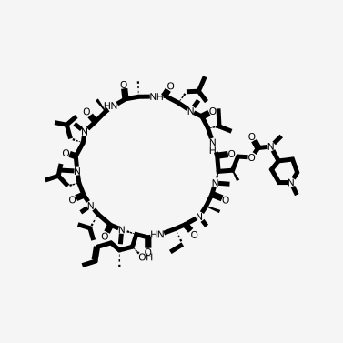 C/C=C/C[C@@H](C)[C@@H](O)[C@H]1C(=O)N[C@@H](CC)C(=O)N(C)[C@H](C)C(=O)N(C)[C@@H]([C@H](C)COC(=O)N(C)C2CCN(C)CC2)C(=O)N[C@@H](C(C)C)C(=O)N(C)[C@@H](CC(C)C)C(=O)N[C@@H](C)C(=O)N[C@H](C)C(=O)N(C)[C@@H](CC(C)C)C(=O)N(C)[C@@H](CC(C)C)C(=O)N(C)[C@@H](C(C)C)C(=O)N1C